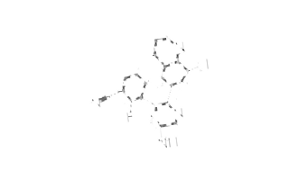 N#Cc1cccc(-c2nc(N)cnc2-c2cc(Cl)c3ncccc3c2)c1F